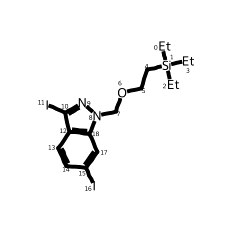 CC[Si](CC)(CC)CCOCn1nc(I)c2ccc(I)cc21